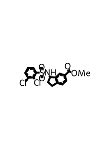 COC(=O)c1ccc2c(c1)C(NS(=O)(=O)c1cccc(Cl)c1Cl)CC2